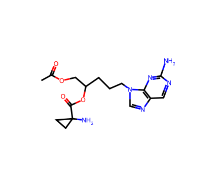 CC(=O)OCC(CCCn1cnc2cnc(N)nc21)OC(=O)C1(N)CC1